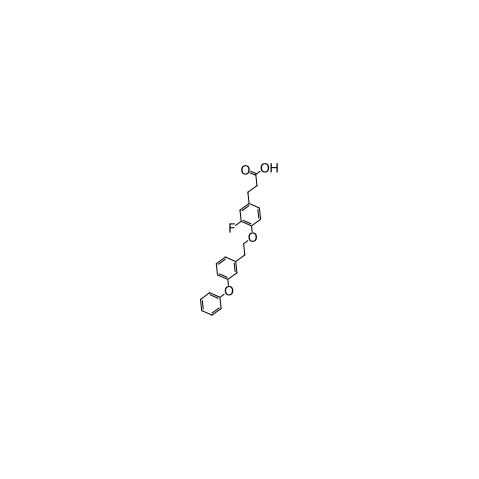 O=C(O)CCc1ccc(OCCc2cccc(Oc3ccccc3)c2)c(F)c1